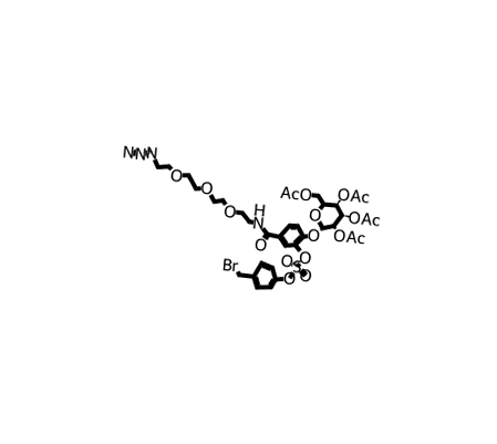 CC(=O)OCC1O[C@@H](Oc2ccc(C(=O)NCCOCCOCCOCCN=[N+]=[N-])cc2OS(=O)(=O)Oc2ccc(CBr)cc2)[C@H](OC(C)=O)[C@@H](OC(C)=O)[C@H]1OC(C)=O